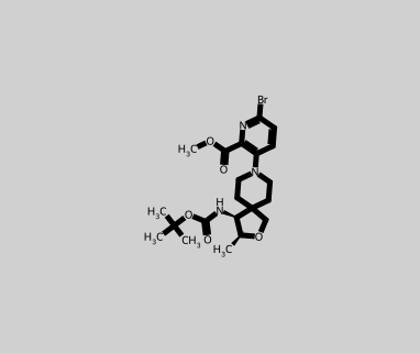 COC(=O)c1nc(Br)ccc1N1CCC2(CC1)CO[C@@H](C)[C@H]2NC(=O)OC(C)(C)C